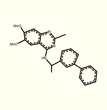 COc1cc2nc(C)nc(NC(C)c3cccc(-c4ccccc4)c3)c2cc1OC